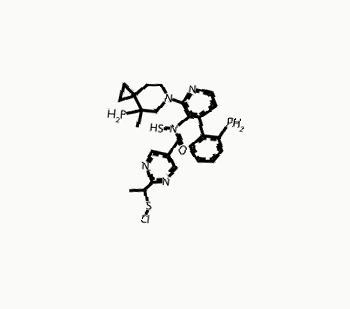 CC(SCl)c1ncc(C(=O)N(S)c2c(-c3ccccc3P)ccnc2N2CCC3(CC3)C(C)(P)C2)cn1